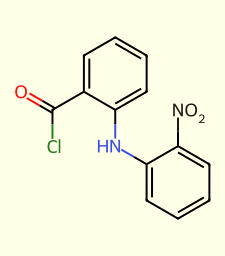 O=C(Cl)c1ccccc1Nc1ccccc1[N+](=O)[O-]